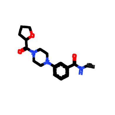 CC(C)(C)NC(=O)c1cccc(N2CCN(C(=O)C3CCCO3)CC2)c1